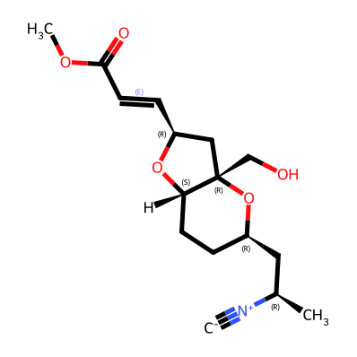 [C-]#[N+][C@H](C)C[C@H]1CC[C@@H]2O[C@@H](/C=C/C(=O)OC)C[C@]2(CO)O1